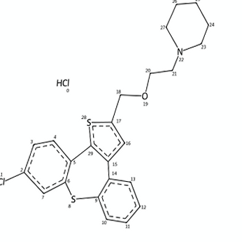 Cl.Clc1ccc2c(c1)Sc1ccccc1-c1cc(COCCN3CCCCC3)sc1-2